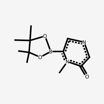 Cn1c(B2OC(C)(C)C(C)(C)O2)cncc1=O